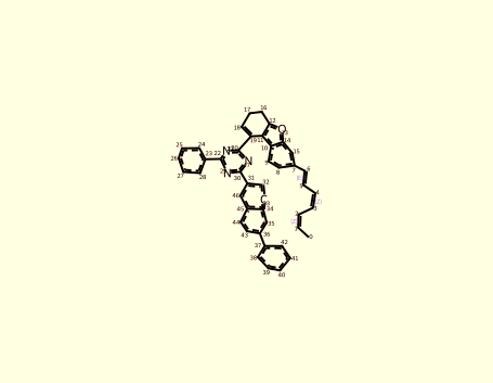 C\C=C/C=C\C=C\c1ccc2c3c(oc2c1)CCC=C3c1nc(-c2ccccc2)nc(-c2ccc3cc(-c4ccccc4)ccc3c2)n1